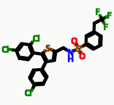 O=S(=O)(NCc1cc(-c2ccc(Cl)cc2)c(-c2ccc(Cl)cc2Cl)s1)c1cccc(CC(F)(F)F)c1